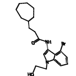 O=C(CCC1CCCCCC1)Nc1cn(CCO)c2cccc(Br)c12